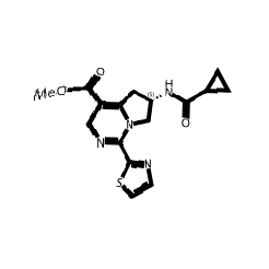 COC(=O)C1=C2C[C@H](NC(=O)C3CC3)CN2C(c2nccs2)=NC1